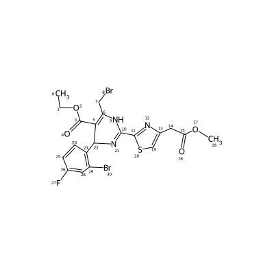 CCOC(=O)C1=C(CBr)NC(c2nc(CC(=O)OC)cs2)=NC1c1ccc(F)cc1Br